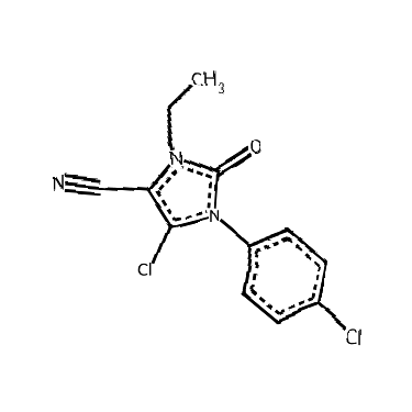 CCn1c(C#N)c(Cl)n(-c2ccc(Cl)cc2)c1=O